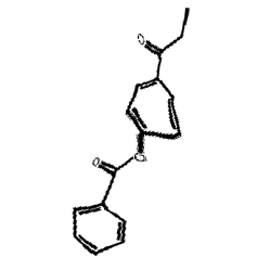 CCC(=O)c1ccc(OC(=O)c2ccccc2)cc1